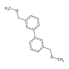 COCc1cccc(-c2cccc(COC)c2)c1